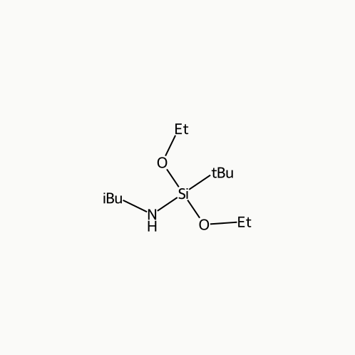 CCO[Si](NC(C)CC)(OCC)C(C)(C)C